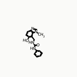 Cn1cnc2ccc(O)c(CNC(=O)Nc3ccccc3)c21